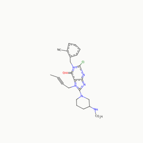 CC#CCn1c(N2CCCC(NC(=O)O)C2)nc2nc(Cl)n(Cc3ccccc3C#N)c(=O)c21